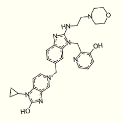 Oc1cccnc1Cn1c(NCCN2CCOCC2)nc2ccc(C[n+]3ccc4c(c3)nc(O)n4C3CC3)cc21